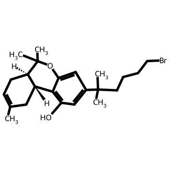 CC1=CC[C@@H]2[C@@H](C1)c1c(O)cc(C(C)(C)CCCCBr)cc1OC2(C)C